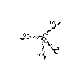 CCC(O)COCCOCC(COCCOCC(O)CC)(COCCOCC(O)CC)COCCOCC(O)CC